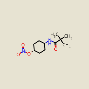 CC(C)(C)C(=O)N[C@H]1CC[C@H](O[N+](=O)[O-])CC1